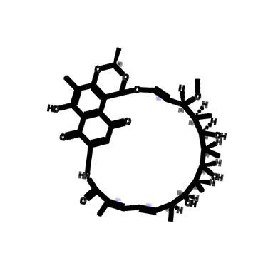 CO[C@H]1/C=C/OC2O[C@H](C)Oc3c(C)c(O)c4c(c32)C(=O)C=C(NC(=O)/C(C)=C\C=C\[C@H](C)[C@H](O)[C@@H](C)[C@@H](O)[C@@H](C)[C@H](O)[C@@H]1C)C4=O